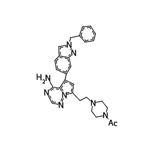 CC(=O)N1CCN(CCc2cc(-c3ccc4cn(Cc5ccccc5)nc4c3)c3c(N)ncnn23)CC1